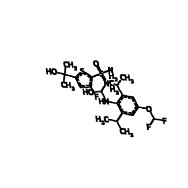 CC(C)c1cc(OC(F)F)cc(C(C)C)c1NC(O)N=S(N)(=O)c1sc(C(C)(C)O)cc1F